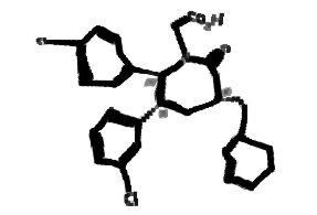 O=C(O)CN1C(=O)[C@H](CC2CCCCC2)C[C@H](c2cccc(Cl)c2)[C@H]1c1ccc(Cl)cc1